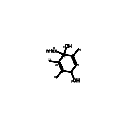 CCCCCCC1(O)C(C)=CC(O)C(C)=C1C